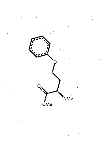 CN[C@H](CCOc1ccccc1)C(=O)OC